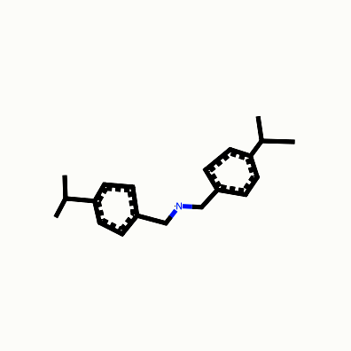 CC(C)c1ccc(C[N]Cc2ccc(C(C)C)cc2)cc1